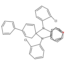 Clc1ccccc1N(c1ccccc1)C1(N(c2ccccc2)c2ccccc2Cl)C=CC(c2ccccc2)=CC1